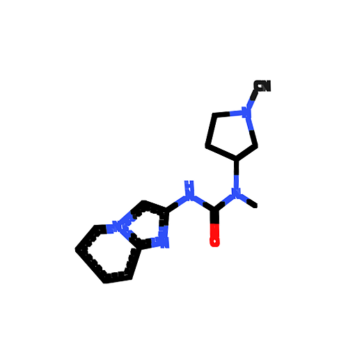 CN(C(=O)Nc1cn2ccccc2n1)C1CCN(C#N)C1